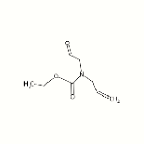 C=CCN(CC=O)C(=O)OCC